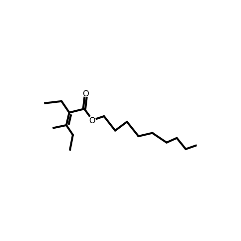 CCCCCCCCCOC(=O)C(CC)=C(C)CC